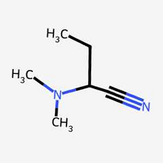 CCC(C#N)N(C)C